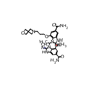 C/N=c1/[nH]c2cc(C(N)=O)cc(OC)c2n1C(C)n1c(=N)[nH]c2cc(C(N)=O)cc(OCCCN3CC4(COC4)C3)c21